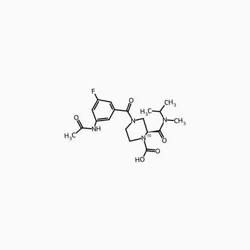 CC(=O)Nc1cc(F)cc(C(=O)N2CCN(C(=O)O)[C@H](C(=O)N(C)C(C)C)C2)c1